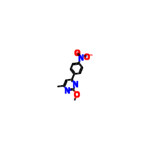 COc1nc(C)cc(-c2ccc([N+](=O)[O-])cc2)n1